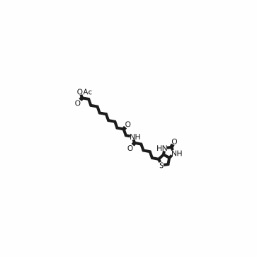 CC(=O)OC(=O)CCCCCCCCC(=O)CNC(=O)CCCCC1SCC2NC(=O)NC21